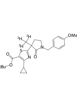 [2H]C([2H])([2H])C1(c2nc(C3CC3)c(C(=O)OC(C)(C)C)s2)CCN(Cc2ccc(OC)cc2)C1=O